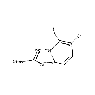 CNc1nc2ccc(Br)c(C)n2n1